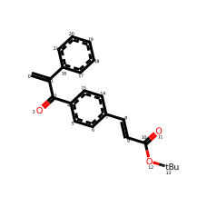 C=C(C(=O)c1ccc(/C=C/C(=O)OC(C)(C)C)cc1)c1ccccc1